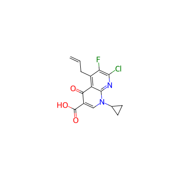 C=CCc1c(F)c(Cl)nc2c1c(=O)c(C(=O)O)cn2C1CC1